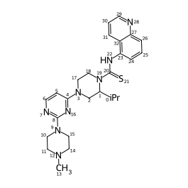 CC(C)C1CN(c2ccnc(N3CCN(C)CC3)n2)CCN1C(=S)Nc1cccc2ncccc12